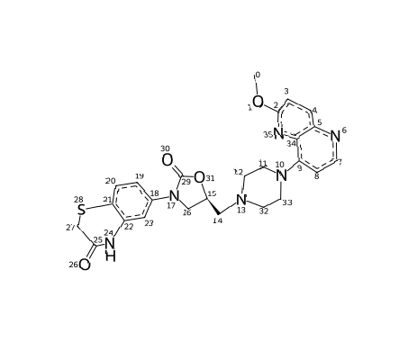 COc1ccc2nccc(N3CCN(C[C@H]4CN(c5ccc6c(c5)NC(=O)CS6)C(=O)O4)CC3)c2n1